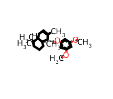 COc1cc(OC)cc(OC[C@H]2C(C)=CC[C@H]3C(C)(C)CCC[C@]23C)c1